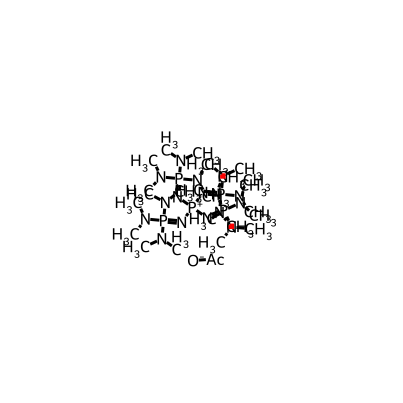 CC(=O)[O-].CN(C)P(=N[P+](N=P(N(C)C)(N(C)C)N(C)C)(N=P(N(C)C)(N(C)C)N(C)C)N=P(N(C)C)(N(C)C)N(C)C)(N(C)C)N(C)C